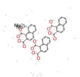 O=C([O-])c1ccc2ccccc2c1C(=O)[O-].O=C([O-])c1ccc2ccccc2c1C(=O)[O-].O=C([O-])c1ccc2ccccc2c1C(=O)[O-].[Mn+3].[Mn+3]